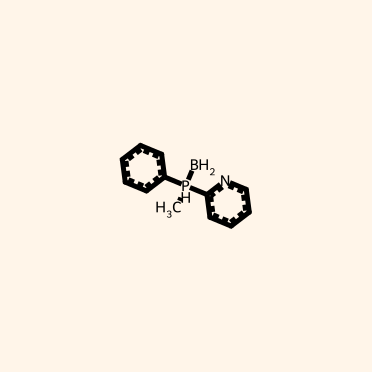 B[PH](C)(c1ccccc1)c1ccccn1